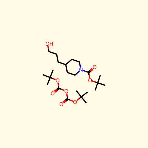 CC(C)(C)OC(=O)N1CCC(CCCO)CC1.CC(C)(C)OC(=O)OC(=O)OC(C)(C)C